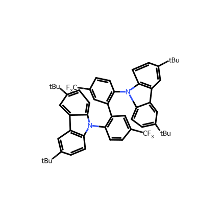 CC(C)(C)c1ccc2c(c1)c1cc(C(C)(C)C)ccc1n2-c1ccc(C(F)(F)F)cc1-c1cc(C(F)(F)F)ccc1-n1c2ccc(C(C)(C)C)cc2c2cc(C(C)(C)C)ccc21